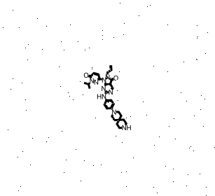 C=CCN1C(=O)C2C=NC(Nc3ccc(N4CCC5(CCNCC5)CC4)cc3)=NC2N1c1ccc(=O)n(C(C)C)n1